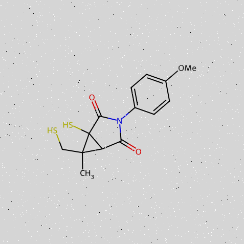 COc1ccc(N2C(=O)C3C(C)(CS)C3(S)C2=O)cc1